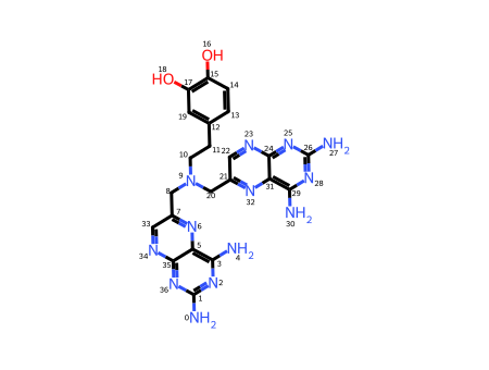 Nc1nc(N)c2nc(CN(CCc3ccc(O)c(O)c3)Cc3cnc4nc(N)nc(N)c4n3)cnc2n1